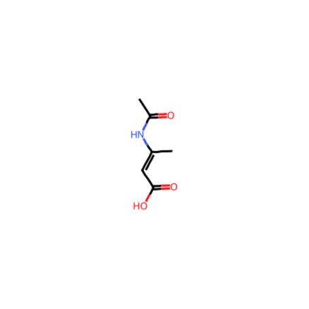 CC(=O)N/C(C)=C/C(=O)O